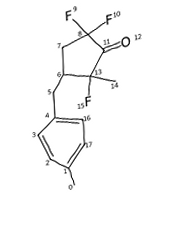 Cc1ccc(CC2CC(F)(F)C(=O)C2(C)F)cc1